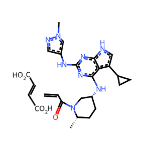 C=CC(=O)N1C[C@H](Nc2nc(Nc3cnn(C)c3)nc3[nH]cc(C4CC4)c23)CC[C@@H]1C.O=C(O)/C=C/C(=O)O